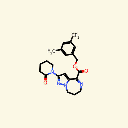 O=C(OCc1cc(C(F)(F)F)cc(C(F)(F)F)c1)C1=NCCCn2nc(N3CCCCC3=O)cc21